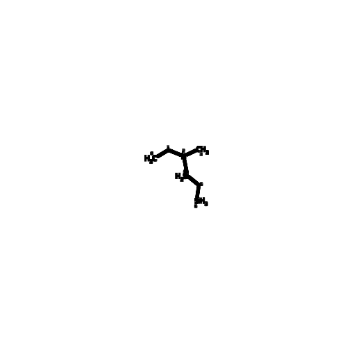 CCN(C)[SiH2]C[SiH3]